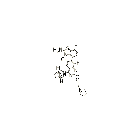 Nc1nc2c(-c3c(Cl)cc4c(N5C[C@H]6CC[C@@H](C5)N6)nc(OCCCN5CCCC5)nc4c3F)ccc(F)c2s1